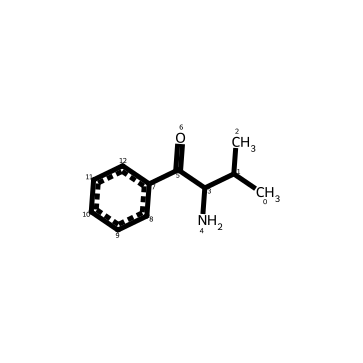 CC(C)C(N)C(=O)c1ccccc1